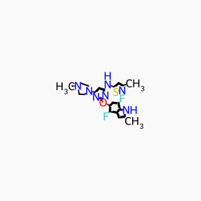 Cc1cc(Nc2cc(N3CCN(C)CC3)nc(Oc3cc(F)c4[nH]c(C)cc4c3F)n2)sn1